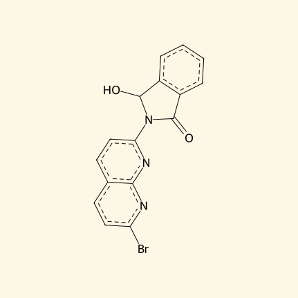 O=C1c2ccccc2C(O)N1c1ccc2ccc(Br)nc2n1